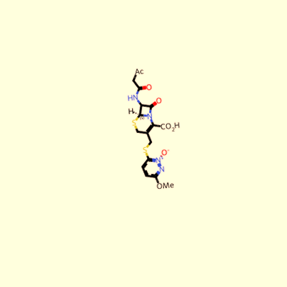 COc1ccc(SCC2=C(C(=O)O)N3C(=O)C(NC(=O)CC(C)=O)[C@@H]3SC2)[n+]([O-])n1